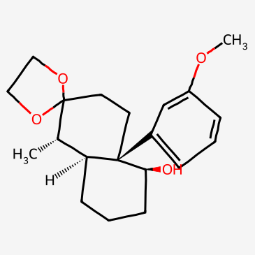 COc1cccc([C@]23CCC4(OCCO4)[C@@H](C)[C@@H]2CCC[C@@H]3O)c1